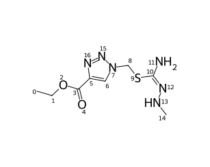 CCOC(=O)c1cn(CS/C(N)=N\NC)nn1